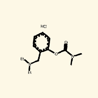 CCN(CC)Cc1ccccc1OC(=O)N(C)C.Cl